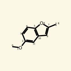 COc1ccc2oc(I)cc2c1